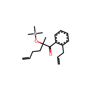 C=CCCC(C)(O[Si](C)(C)C)C(=O)c1ccccc1CC=C